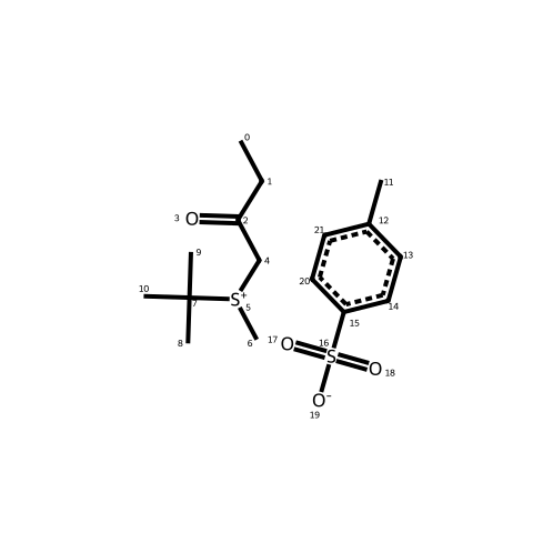 CCC(=O)C[S+](C)C(C)(C)C.Cc1ccc(S(=O)(=O)[O-])cc1